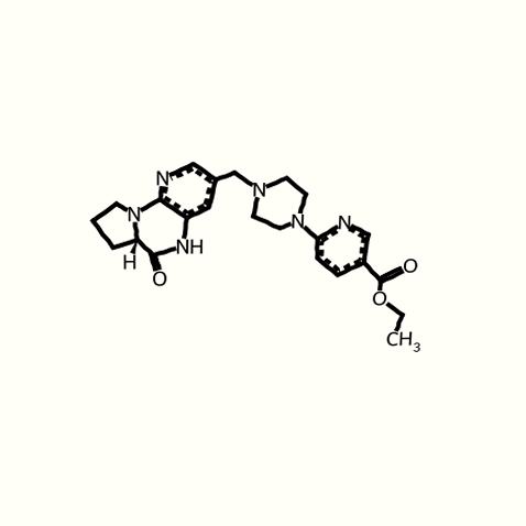 CCOC(=O)c1ccc(N2CCN(Cc3cnc4c(c3)NC(=O)[C@@H]3CCCN43)CC2)nc1